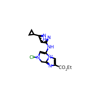 CCOC(=O)C1=C[N+]2C(Nc3cc(C4CC4)[nH]n3)=CN(Cl)CC2=N1